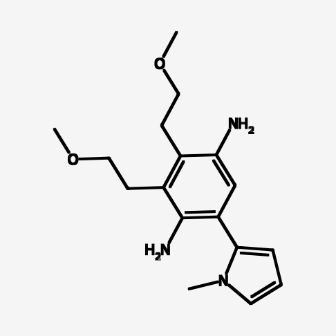 COCCc1c(N)cc(-c2cccn2C)c(N)c1CCOC